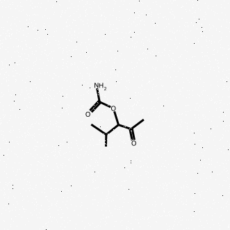 CC(=O)C(OC(N)=O)C(C)C